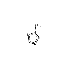 Cn1ncnn1